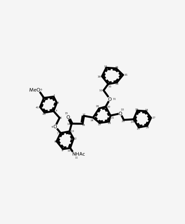 COc1ccc(COc2ccc(NC(C)=O)cc2C(=O)/C=C/c2ccc(OCc3ccccc3)c(OCc3ccccc3)c2)cc1